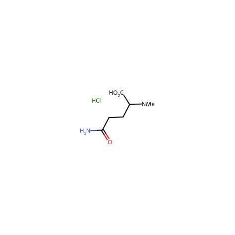 CNC(CCC(N)=O)C(=O)O.Cl